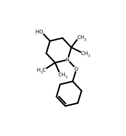 CC1(C)CC(O)CC(C)(C)N1OC1CC=CCC1